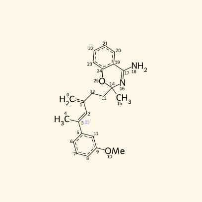 C=C(/C=C(\C)c1cccc(OC)c1)CCC1(C)N=C(N)c2ccccc2O1